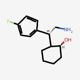 NC[C@@H](c1ccc(F)cc1)C1CCCC[C@@H]1O